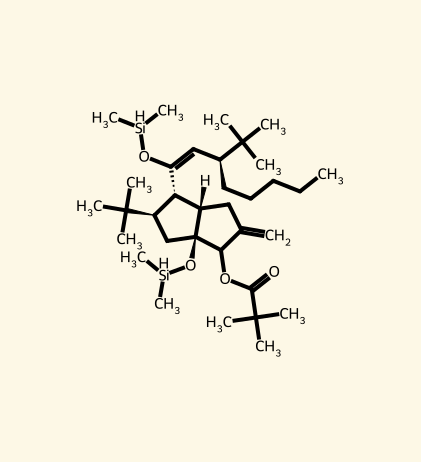 C=C1C[C@H]2[C@@H](/C(=C\[C@H](CCCCC)C(C)(C)C)O[SiH](C)C)[C@H](C(C)(C)C)C[C@@]2(O[SiH](C)C)C1OC(=O)C(C)(C)C